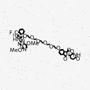 COc1cnc(OC)n2nc(NS(=O)(=O)c3c(OCCOCCOCCOCCOCCOc4ccc5c(c4)C(=O)N(C4CCC(=O)NC4=O)C5=O)cccc3C(F)(F)F)nc12